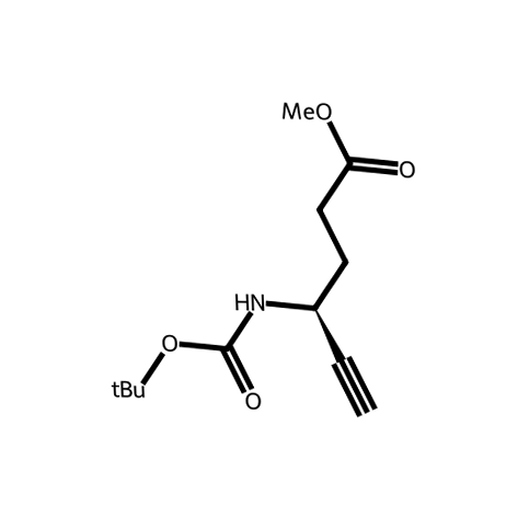 C#C[C@H](CCC(=O)OC)NC(=O)OC(C)(C)C